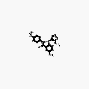 CC(C)Oc1ccc(NC(=O)c2cc([N+](=O)[O-])ccc2Sc2nnnn2C)cc1